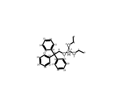 CCO[SiH](OCC)OCC(c1ccccc1)(c1ccccc1)c1ccccc1